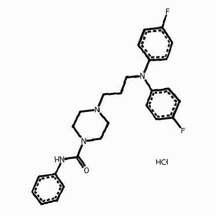 Cl.O=C(Nc1ccccc1)N1CCN(CCCN(c2ccc(F)cc2)c2ccc(F)cc2)CC1